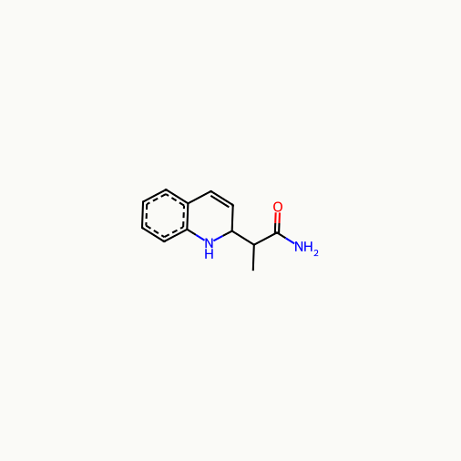 CC(C(N)=O)C1C=Cc2ccccc2N1